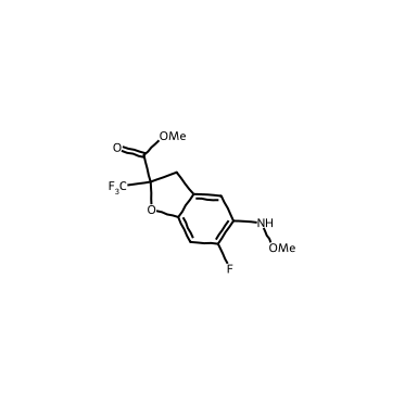 CONc1cc2c(cc1F)OC(C(=O)OC)(C(F)(F)F)C2